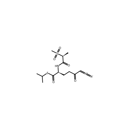 CC(C)SC(=O)[C@H](CCC(=O)C=[N+]=[N-])NC(=O)[C@H](C)S(C)(=O)=O